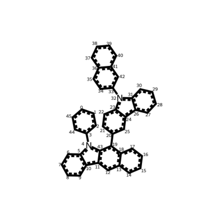 c1ccc(-n2c3ccccc3c3cc4ccccc4c(-c4ccc5c(c4)c4ccccc4n5-c4ccc5ccccc5c4)c32)cc1